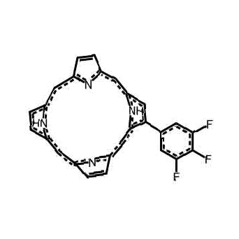 Fc1cc(-c2cc3cc4nc(cc5ccc(cc6nc(cc2[nH]3)C=C6)[nH]5)C=C4)cc(F)c1F